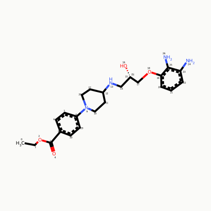 CCOC(=O)c1ccc(N2CCC(NC[C@H](O)COc3cccc(N)c3N)CC2)cc1